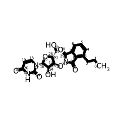 CCCc1cccc2c1C(=O)N(O[C@H]1[C@@H](O)[C@H](n3ccc(=O)[nH]c3=O)O[C@@H]1CO)C2=O